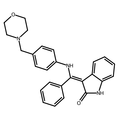 O=C1Nc2ccccc2C1=C(Nc1ccc(CN2CCOCC2)cc1)c1ccccc1